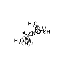 Cc1cn2c(N3CCC(N(C(=O)OC(C)(C)C)C4CC4)CC3)ccc(C(=O)O)c2n1